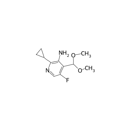 COC(OC)c1c(F)cnc(C2CC2)c1N